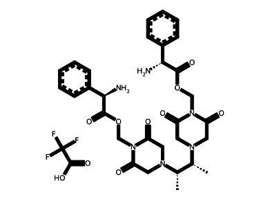 C[C@H]([C@H](C)N1CC(=O)N(COC(=O)[C@H](N)c2ccccc2)C(=O)C1)N1CC(=O)N(COC(=O)[C@H](N)c2ccccc2)C(=O)C1.O=C(O)C(F)(F)F